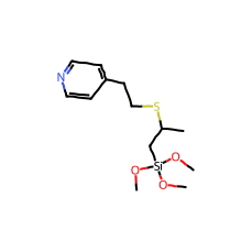 CO[Si](CC(C)SCCc1ccncc1)(OC)OC